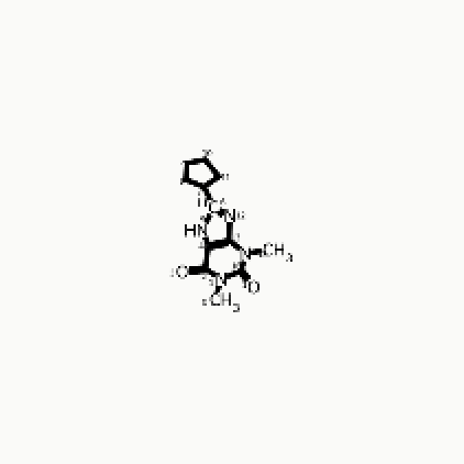 Cn1c(=O)c2[nH][11c](C3CCCC3)nc2n(C)c1=O